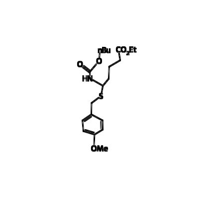 CCCCOC(=O)NC(CCCC(=O)OCC)SCc1ccc(OC)cc1